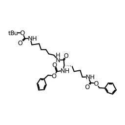 CC(C)(C)OC(=O)NCCCCCCNC(=O)[C@H](CCCCNC(=O)OCc1ccccc1)NC(=O)OCc1ccccc1